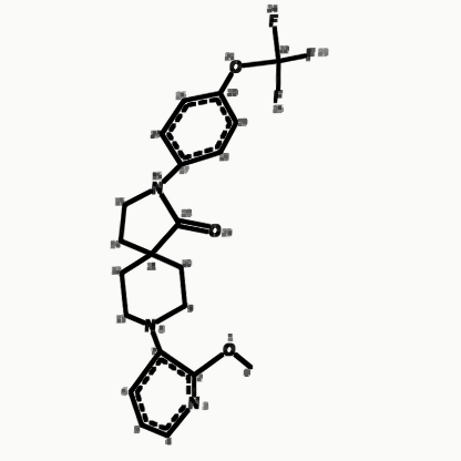 COc1ncccc1N1CCC2(CC1)CCN(c1ccc(OC(F)(F)F)cc1)C2=O